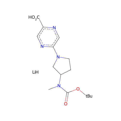 CN(C(=O)OC(C)(C)C)C1CCN(c2cnc(C(=O)O)cn2)C1.[LiH]